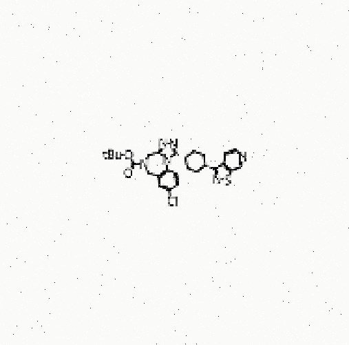 CC(C)(C)OC(=O)N1Cc2cc(Cl)ccc2-n2c(nnc2[C@H]2CC[C@H](c3nsc4cnccc43)CC2)C1